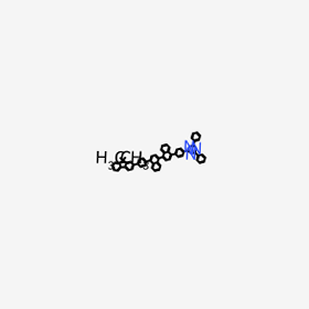 CC1(C)c2ccccc2-c2ccc(-c3ccc(-c4ccc(-c5ccc(-c6ccc(-c7nc(-c8ccccc8)nc(-c8ccccc8)n7)cc6)c6ccccc56)c5ccccc45)cc3)cc21